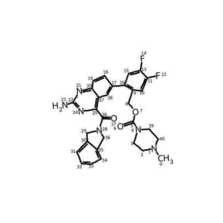 CN1CCN(C(=O)OCc2cc(F)c(F)cc2-c2ccc3nc(N)nc(C(=O)N4Cc5ccccc5C4)c3c2)CC1